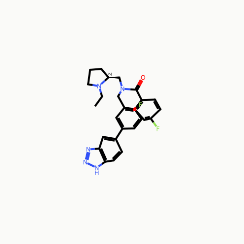 CCN1CCC[C@H]1CN(Cc1cc(-c2ccc3[nH]nnc3c2)ccc1F)C(=O)c1ccc(F)cc1